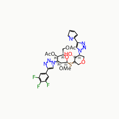 CO[C@@H]1[C@@H](n2cc(-c3cc(F)c(F)c(F)c3)nn2)[C@@H](OC(C)=O)[C@@H](COC(C)=O)O[C@H]1S[C@@H]1COC[C@H](n2cc(-c3ccccn3)nn2)[C@H]1O